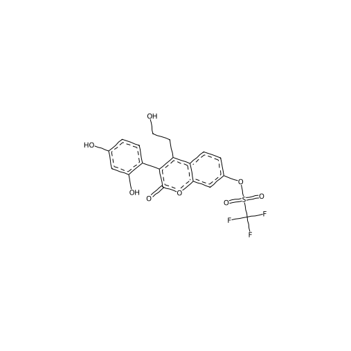 O=c1oc2cc(OS(=O)(=O)C(F)(F)F)ccc2c(CCO)c1-c1ccc(O)cc1O